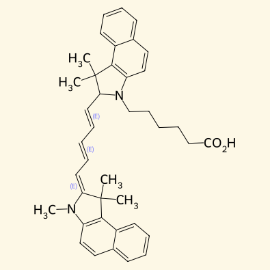 CN1/C(=C/C=C/C=C/C2N(CCCCCC(=O)O)c3ccc4ccccc4c3C2(C)C)C(C)(C)c2c1ccc1ccccc21